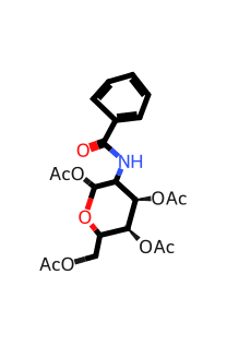 CC(=O)OCC1OC(OC(C)=O)C(NC(=O)c2ccccc2)[C@@H](OC(C)=O)[C@H]1OC(C)=O